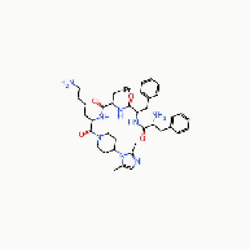 Cc1cnc(C)n1C1CCN(C(=O)[C@@H](CCCCN)NC(=O)[C@@H](CC(C)C)NC(=O)[C@@H](Cc2ccccc2)NC(=O)[C@H](N)Cc2ccccc2)CC1